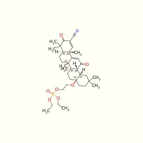 CCOP(=O)(OCC)OCCO[C@]12CCC(C)(C)C[C@H]1[C@H]1C(=O)C=C3[C@@]4(C)C=C(C#N)C(=O)C(C)(C)[C@@H]4CC[C@@]3(C)[C@]1(C)CC2